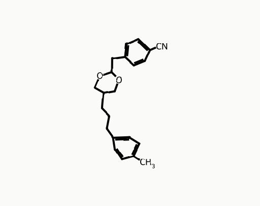 Cc1ccc(CCCC2COC(Cc3ccc(C#N)cc3)OC2)cc1